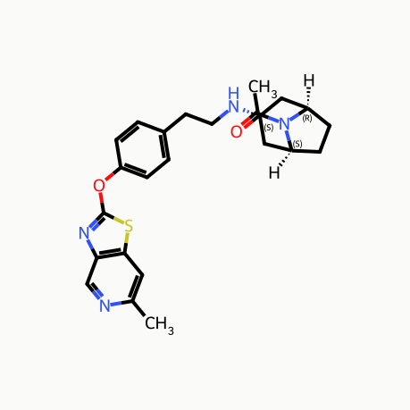 CC(=O)N1[C@@H]2CC[C@H]1C[C@H](NCCc1ccc(Oc3nc4cnc(C)cc4s3)cc1)C2